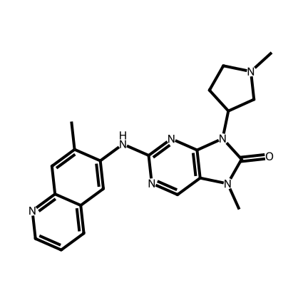 Cc1cc2ncccc2cc1Nc1ncc2c(n1)n(C1CCN(C)C1)c(=O)n2C